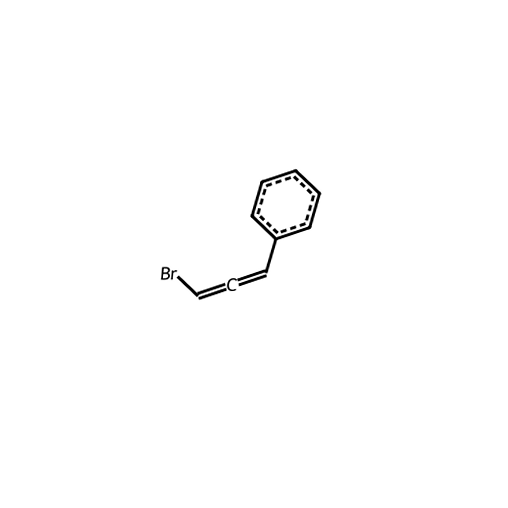 BrC=C=Cc1ccccc1